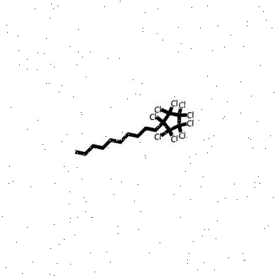 CCCCCCCCCCC1(Cl)C(Cl)(Cl)C(Cl)(Cl)C(Cl)(Cl)C1(Cl)Cl